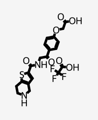 O=C(O)C(F)(F)F.O=C(O)COc1ccc(C(=O)CNC(=O)c2cc3c(s2)CCNC3)cc1